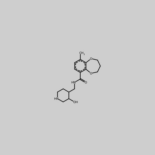 Cc1ccc(C(=O)NCC2CCNCC2O)c2c1OCCCO2